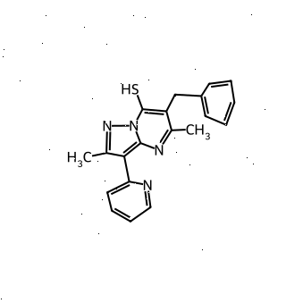 Cc1nc2c(-c3ccccn3)c(C)nn2c(S)c1Cc1ccccc1